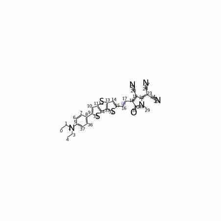 CCN(CC)c1ccc(-c2cc3sc4cc(/C=C/C5=C(C#N)C(=C(C#N)C#N)N(C)C5=O)sc4c3s2)cc1